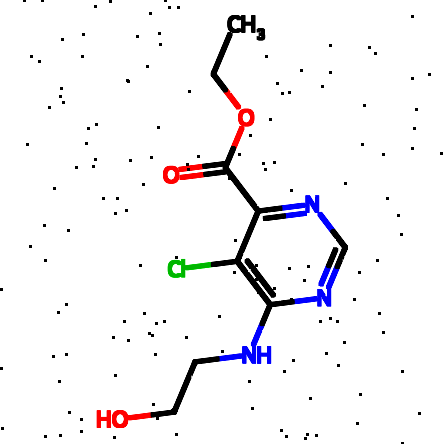 CCOC(=O)c1ncnc(NCCO)c1Cl